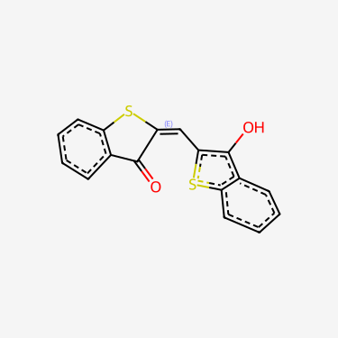 O=C1/C(=C\c2sc3ccccc3c2O)Sc2ccccc21